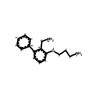 NCCCOc1cccc(-c2ccccc2)c1CN